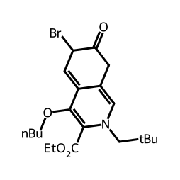 CCCCOC1=C(C(=O)OCC)N(CC(C)(C)C)C=C2CC(=O)C(Br)C=C21